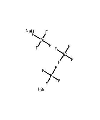 Br.F[B-](F)(F)F.F[B-](F)(F)F.F[B-](F)(F)F.[NaH]